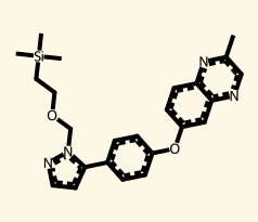 Cc1cnc2cc(Oc3ccc(-c4ccnn4COCC[Si](C)(C)C)cc3)ccc2n1